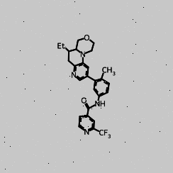 CCC1Cc2ncc(-c3cc(NC(=O)c4ccnc(C(F)(F)F)c4)ccc3C)cc2N2CCOCC12